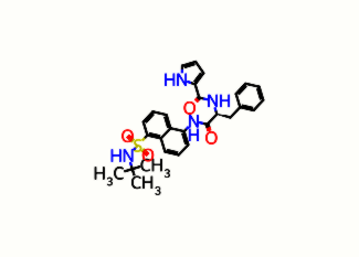 CC(C)(C)NS(=O)(=O)c1cccc2c(NC(=O)[C@H](Cc3ccccc3)NC(=O)c3ccc[nH]3)cccc12